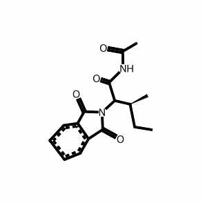 CC[C@H](C)C(C(=O)NC(C)=O)N1C(=O)c2ccccc2C1=O